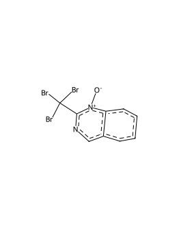 [O-][n+]1c(C(Br)(Br)Br)ncc2ccccc21